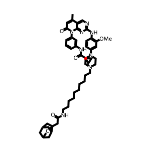 COc1cc(N2CCN(CCCCCCCCCCNC(=O)CC34CC5CC(CC3C5)C4)CC2)ccc1Nc1ncc2c(C)cc(=O)n(-c3cccc(NC(=O)C4CC4)c3)c2n1